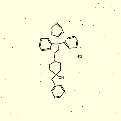 Cl.OC1(Cc2ccccc2)CCN(CCC(c2ccccc2)(c2ccccc2)c2ccccc2)CC1